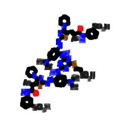 CCN(CC)c1ccc(/N=N/c2nc(N3CCCCC3)c(/C=C(\C(C)=O)C(=O)Nc3cccc(S(=O)(=O)O)c3)s2)c(Nc2nc(Nc3cc(N(CC)CC)ccc3/N=N/c3nc(N4CCCCC4)c(C(C(C)=O)C(=O)Nc4cccc(S(=O)(=O)O)c4)s3)nc(SCCS(=O)(=O)O)n2)c1